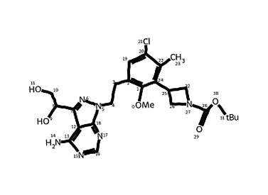 COc1c(CCn2nc(C(O)CO)c3c(N)ncnc32)cc(Cl)c(C)c1C1CN(C(=O)OC(C)(C)C)C1